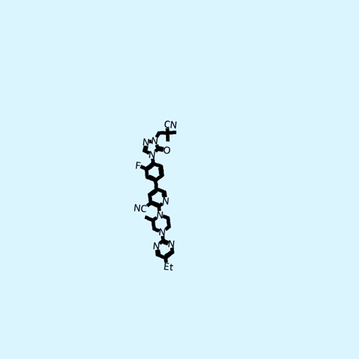 CCc1cnc(N2CCN(c3ncc(-c4ccc(-n5cnn(CC(C)(C)C#N)c5=O)c(F)c4)cc3C#N)C(C)C2)nc1